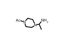 CC(=O)N1CCN(C(C)N)CC1